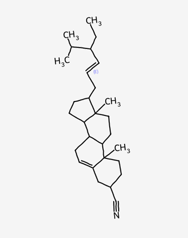 CCC(/C=C/CC1CCC2C3CC=C4CC(C#N)CCC4(C)C3CCC12C)C(C)C